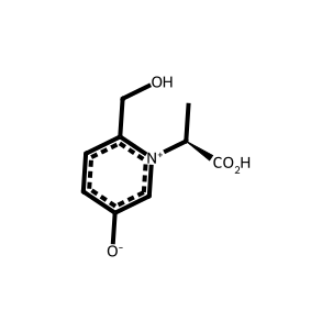 C[C@@H](C(=O)O)[n+]1cc([O-])ccc1CO